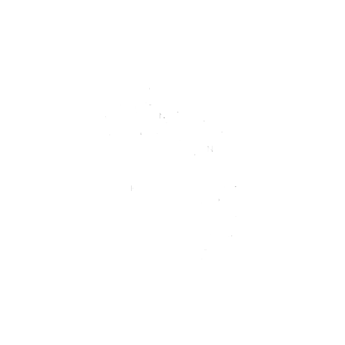 Cl.O=C1c2ccccc2CN1CC1CCN(CCSc2ccc(F)cc2)CC1